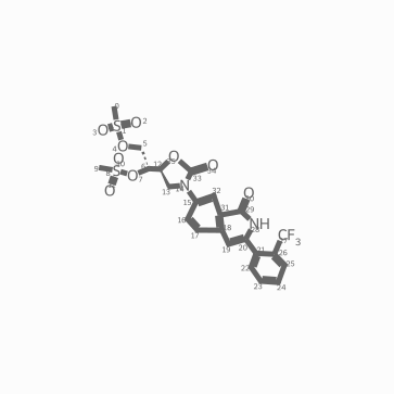 CS(=O)(=O)OC[C@@H](OS(C)(=O)=O)[C@@H]1CN(c2ccc3cc(-c4ccccc4C(F)(F)F)[nH]c(=O)c3c2)C(=O)O1